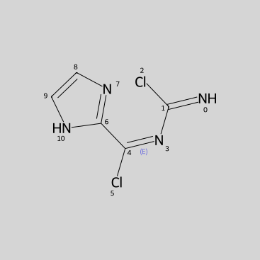 N=C(Cl)/N=C(/Cl)c1ncc[nH]1